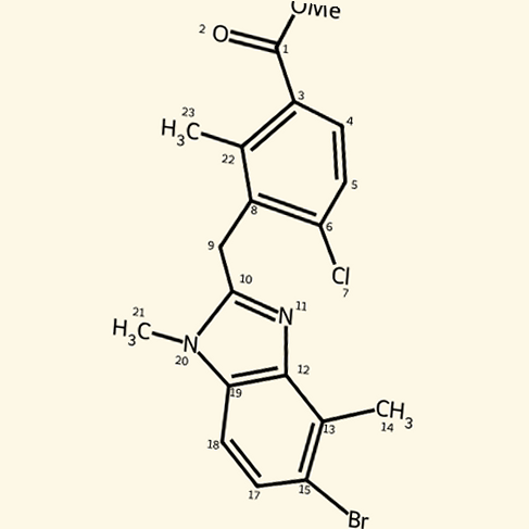 COC(=O)c1ccc(Cl)c(Cc2nc3c(C)c(Br)ccc3n2C)c1C